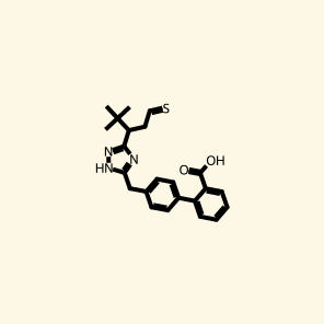 CC(C)(C)C(CC=S)c1n[nH]c(Cc2ccc(-c3ccccc3C(=O)O)cc2)n1